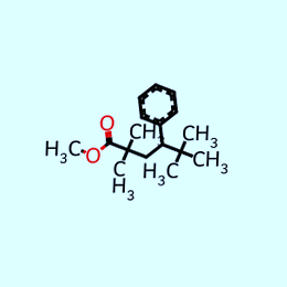 COC(=O)C(C)(C)CC(c1ccccc1)C(C)(C)C